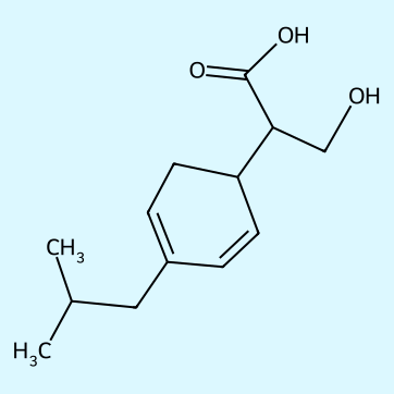 CC(C)CC1=CCC(C(CO)C(=O)O)C=C1